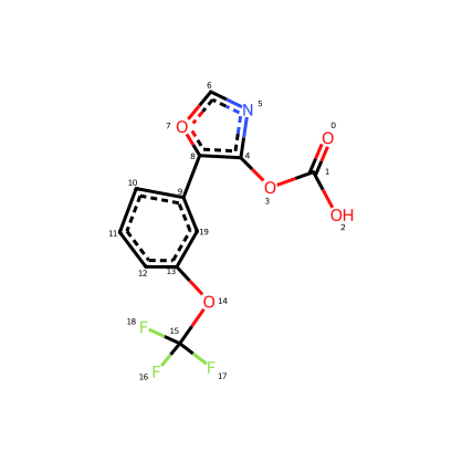 O=C(O)Oc1ncoc1-c1cccc(OC(F)(F)F)c1